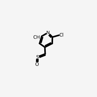 C.O=S=Cc1ccnc(Cl)c1